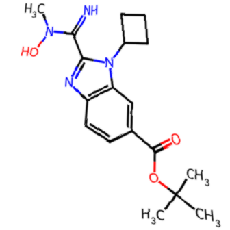 CN(O)C(=N)c1nc2ccc(C(=O)OC(C)(C)C)cc2n1C1CCC1